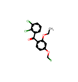 CCOc1cc(OCF)ccc1C(=O)c1cccc(Cl)c1Cl